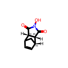 O=C1[C@@H]2[C@@H]3C=CC(C3)[C@@H]2C(=O)N1O